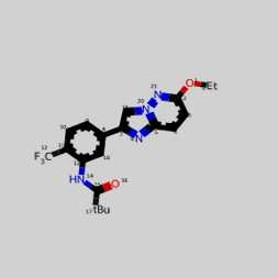 CCOc1ccc2nc(-c3ccc(C(F)(F)F)c(NC(=O)C(C)(C)C)c3)cn2n1